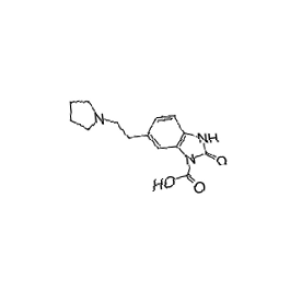 O=C(O)n1c(=O)[nH]c2ccc(CCN3CCCC3)cc21